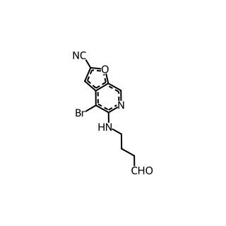 N#Cc1cc2c(Br)c(NCCCC=O)ncc2o1